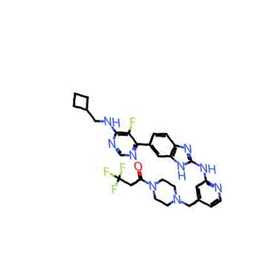 O=C(CC(F)(F)F)N1CCN(Cc2ccnc(Nc3nc4ccc(-c5ncnc(NCC6CCC6)c5F)cc4[nH]3)c2)CC1